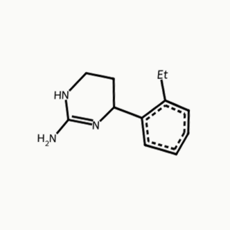 CCc1ccccc1C1CCNC(N)=N1